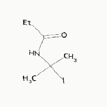 CCC(=O)NC(C)(C)I